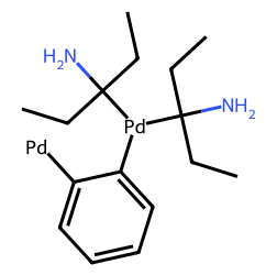 CC[C](N)(CC)[Pd]([c]1cccc[c]1[Pd])[C](N)(CC)CC